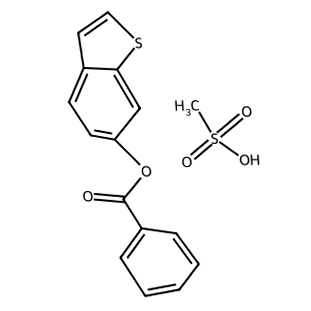 CS(=O)(=O)O.O=C(Oc1ccc2ccsc2c1)c1ccccc1